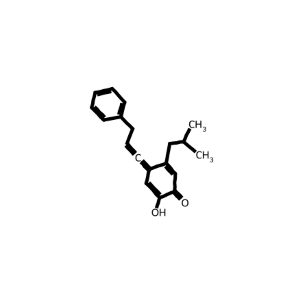 CC(C)CC1=CC(=O)C(O)=CC1=C=CCc1ccccc1